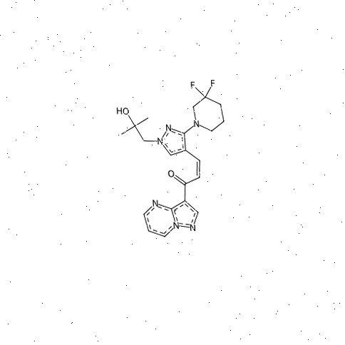 CC(C)(O)Cn1cc(/C=C\C(=O)c2cnn3cccnc23)c(N2CCCC(F)(F)C2)n1